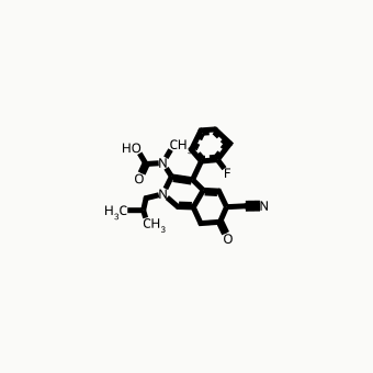 CC(C)CN1C=C2CC(=O)C(C#N)C=C2C(c2ccccc2F)=C1N(C)C(=O)O